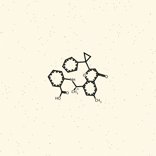 Cc1cc([C@@H](C)Nc2ccccc2C(=O)O)c2oc(C3(c4ccccc4)CC3)cc(=O)c2c1